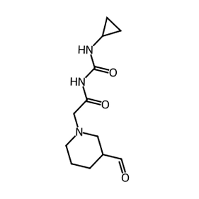 O=CC1CCCN(CC(=O)NC(=O)NC2CC2)C1